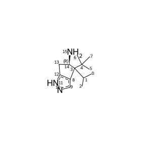 CC(C)C1(C(C)(C)C)c2cn[nH]c2C[C@H]1N